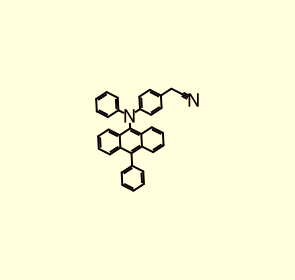 N#CCc1ccc(N(c2ccccc2)c2c3ccccc3c(-c3ccccc3)c3ccccc23)cc1